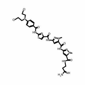 Cn1nc(NC(=O)c2cc(NC(=O)c3csc(NC(=O)c4ccc(N(CCCl)CCCl)cc4)n3)nn2C)cc1C(=O)NCCC(=N)N